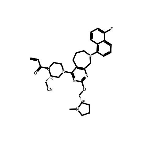 C=CC(=O)N1CCN(c2nc(OC[C@@H]3CCCN3C)nc3c2CCCN(c2cccc4c(F)cccc24)C3)C[C@@H]1CC#N